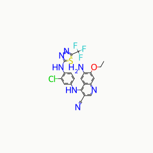 CCOc1cc2ncc(C#N)c(Nc3ccc(Nc4nnc(C(F)(F)F)s4)c(Cl)c3)c2cc1N